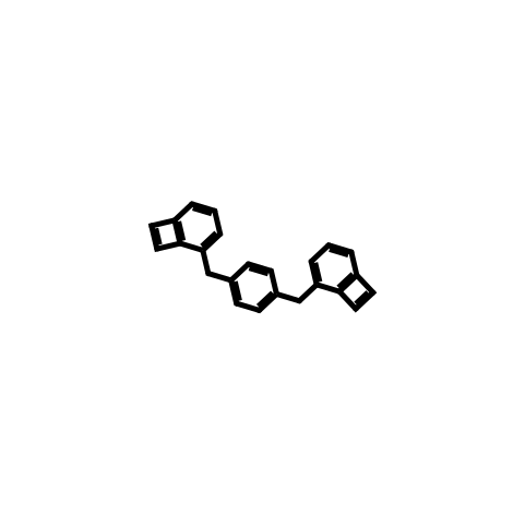 C1=Cc2c1cccc2Cc1ccc(Cc2cccc3c2C=C3)cc1